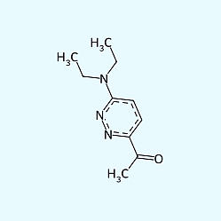 CCN(CC)c1ccc(C(C)=O)nn1